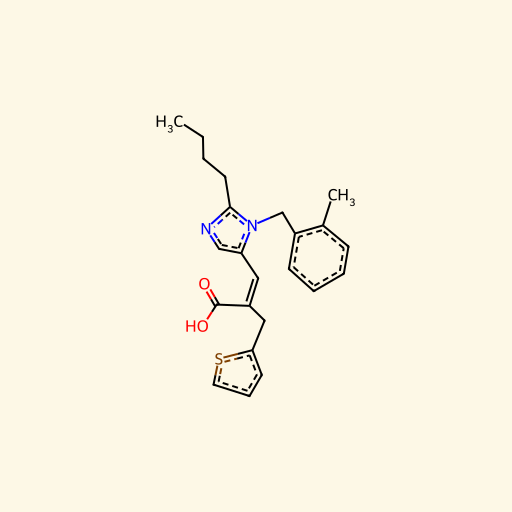 CCCCc1ncc(C=C(Cc2cccs2)C(=O)O)n1Cc1ccccc1C